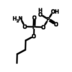 CCCCOP(=O)(ON)OP(=O)(O)O